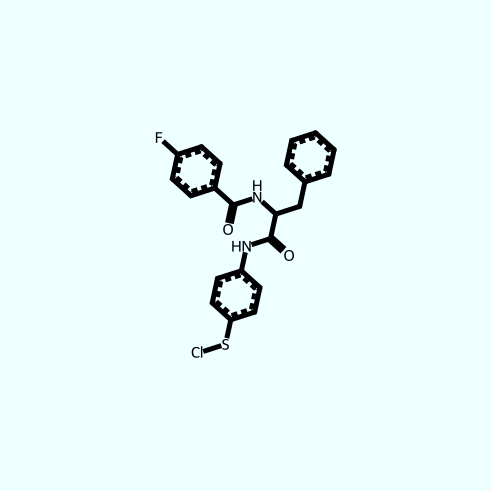 O=C(NC(Cc1ccccc1)C(=O)Nc1ccc(SCl)cc1)c1ccc(F)cc1